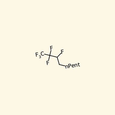 CCCCCCC(F)C(F)(F)C(F)(F)F